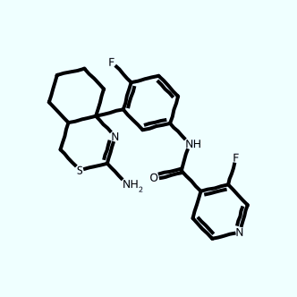 NC1=NC2(c3cc(NC(=O)c4ccncc4F)ccc3F)CCCCC2CS1